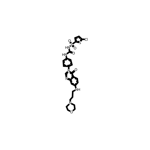 O=C(Nc1ccc(-n2cnc3cc(NCCCN4CCOCC4)ccc3c2=O)cc1)NS(=O)(=O)c1ccc(Cl)s1